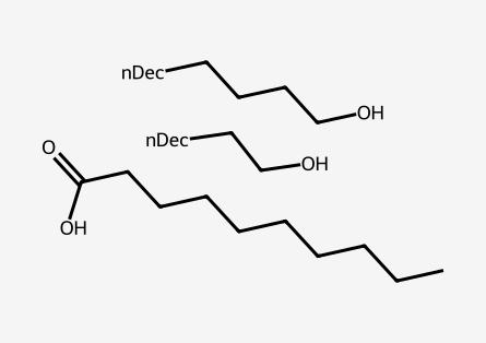 CCCCCCCCCC(=O)O.CCCCCCCCCCCCCCO.CCCCCCCCCCCCO